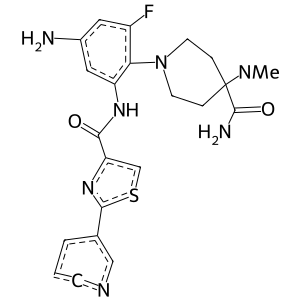 CNC1(C(N)=O)CCN(c2c(F)cc(N)cc2NC(=O)c2csc(-c3cccnc3)n2)CC1